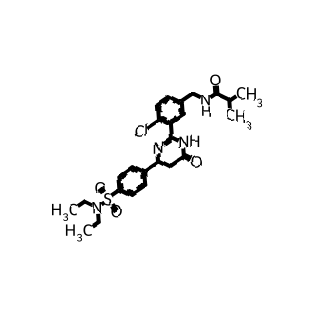 CCN(CC)S(=O)(=O)c1ccc(C2CC(=O)NC(c3cc(CNC(=O)C(C)C)ccc3Cl)=N2)cc1